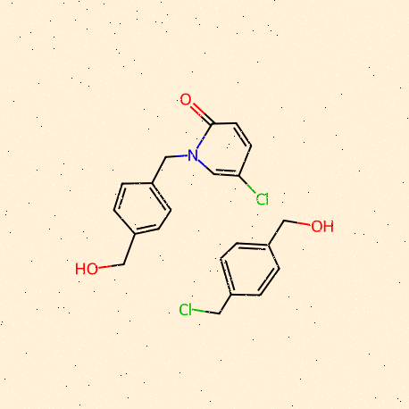 O=c1ccc(Cl)cn1Cc1ccc(CO)cc1.OCc1ccc(CCl)cc1